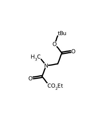 CCOC(=O)C(=O)N(C)CC(=O)OC(C)(C)C